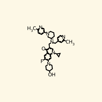 Cc1ccc(N2CCC[C@H](N(Cc3ccnc(C)c3)Cc3cn(C4CC4)c4cc(N5CCC(O)CC5)c(F)cc4c3=O)C2)cn1